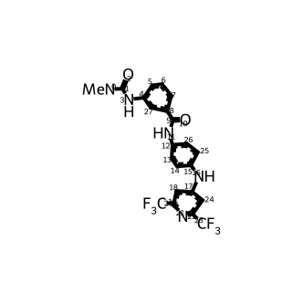 CNC(=O)Nc1cccc(C(=O)Nc2ccc(Nc3cc(C(F)(F)F)nc(C(F)(F)F)c3)cc2)c1